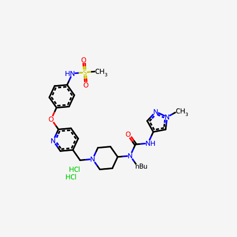 CCCCN(C(=O)Nc1cnn(C)c1)C1CCN(Cc2ccc(Oc3ccc(NS(C)(=O)=O)cc3)nc2)CC1.Cl.Cl